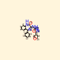 O=C1Nc2ccccc2C(c2ccccc2)=N[C@@H]1Nc1nnc(C2CCOC2)o1